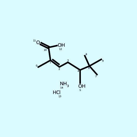 CC(=CCC(O)C(C)(C)C)C(=O)O.Cl.N